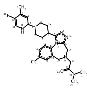 CC1=CC(N2CCC(c3nnc4n3-c3ccc(Cl)cc3CN(CC(=O)N(C)C)C4)CC2)NC=C1F